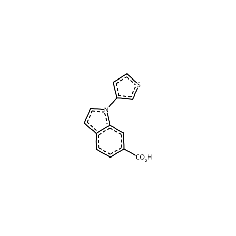 O=C(O)c1ccc2ccn(-c3ccsc3)c2c1